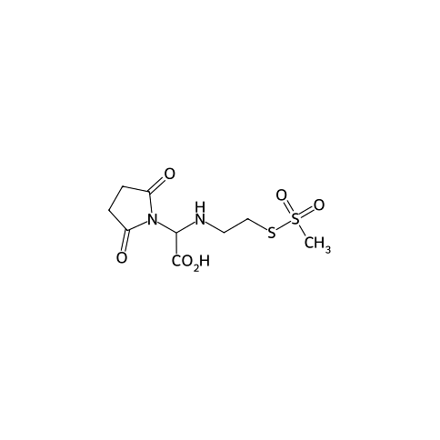 CS(=O)(=O)SCCNC(C(=O)O)N1C(=O)CCC1=O